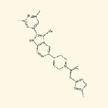 Cc1cc(-c2[nH]c3ccc(C4CCN(C(=O)Cc5csc(C)n5)CC4)cc3c2C(C)C)cc(C)n1